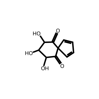 O=C1C(O)C(O)C(O)C(=O)C12C=CC=C2